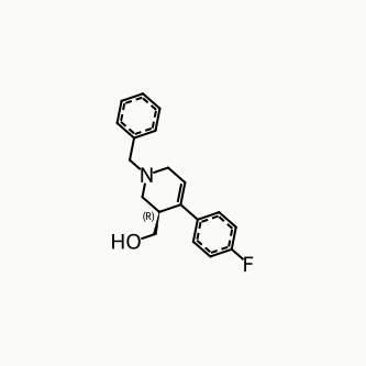 OC[C@H]1CN(Cc2ccccc2)CC=C1c1ccc(F)cc1